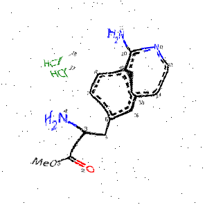 COC(=O)C(N)Cc1ccc2c(N)nccc2c1.Cl.Cl